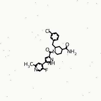 Cc1cc(-c2cc(C(=O)N3CCC(C(N)=O)CC3Cc3cccc(Cl)c3)n[nH]2)c(F)cn1